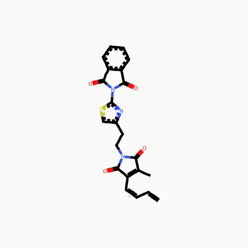 C=C/C=C\C1=C(C)C(=O)N(CCc2csc(N3C(=O)c4ccccc4C3=O)n2)C1=O